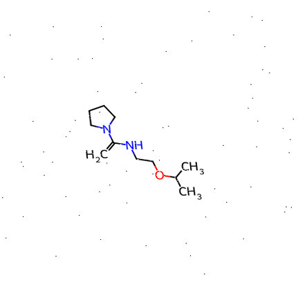 C=C(NCCOC(C)C)N1CCCC1